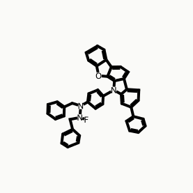 FN(Cc1ccccc1)N(Cc1ccccc1)c1ccc(-n2c3cc(-c4ccccc4)ccc3c3ccc4c5ccccc5oc4c32)cc1